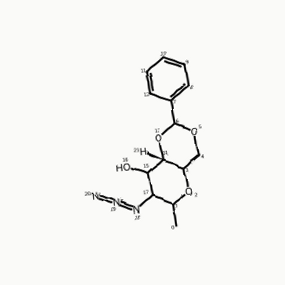 CC1OC2COC(c3ccccc3)O[C@H]2C(O)C1N=[N+]=[N-]